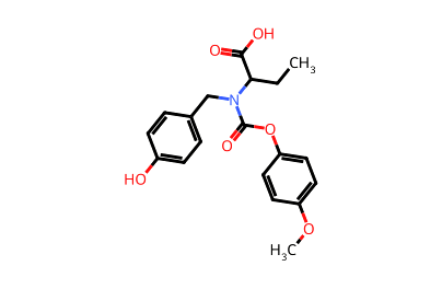 CCC(C(=O)O)N(Cc1ccc(O)cc1)C(=O)Oc1ccc(OC)cc1